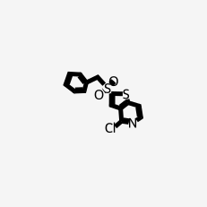 O=S(=O)(Cc1ccccc1)c1cc2c(Cl)nccc2s1